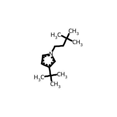 CC(C)(C)CCn1ccc(C(C)(C)C)c1